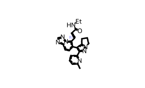 CCNC(=O)/C=C/c1c(-c2c(-c3cccc(C)n3)nn3c2CCC3)ccc2ncnn12